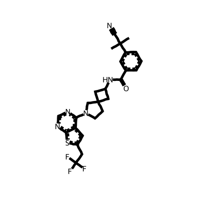 CC(C)(C#N)c1cccc(C(=O)NC2CC3(CCN(c4ncnc5sc(CC(F)(F)F)cc45)C3)C2)c1